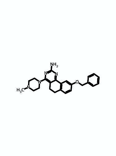 CN1CCN(c2nc(N)nc3c2CCc2ccc(OCc4ccccc4)cc2-3)CC1